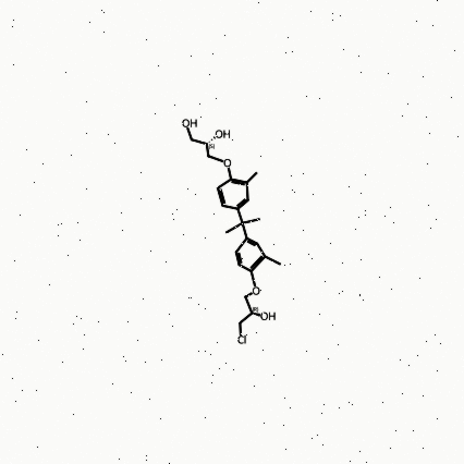 Cc1cc(C(C)(C)c2ccc(OC[C@@H](O)CCl)c(C)c2)ccc1OC[C@@H](O)CO